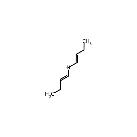 CCC=C[N]C=CCC